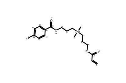 C=CC(=O)OCCC[N+](C)(C)CCCOC(=O)c1ccc(I)cc1